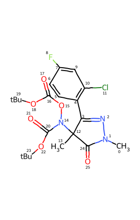 CN1N=C(c2ccc(F)cc2Cl)C(C)(N(OC(=O)OC(C)(C)C)C(=O)OC(C)(C)C)C1=O